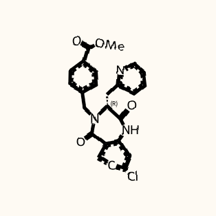 COC(=O)c1ccc(CN2C(=O)c3ccc(Cl)cc3NC(=O)[C@H]2Cc2ccccn2)cc1